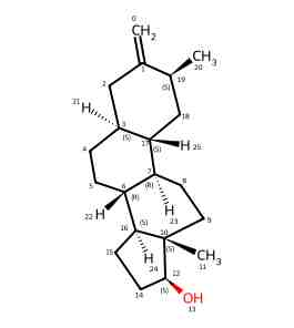 C=C1C[C@@H]2CC[C@@H]3[C@H](CC[C@]4(C)[C@@H](O)CC[C@@H]34)[C@H]2C[C@@H]1C